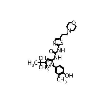 Cc1cc(-n2nc(C(C)(C)C)cc2NC(=O)Nc2ncc(CCN3CCOCC3)s2)ccc1O